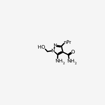 CCCc1nn(CO)c(N)c1C(N)=O